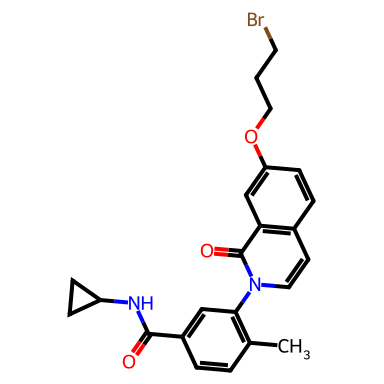 Cc1ccc(C(=O)NC2CC2)cc1-n1ccc2ccc(OCCCBr)cc2c1=O